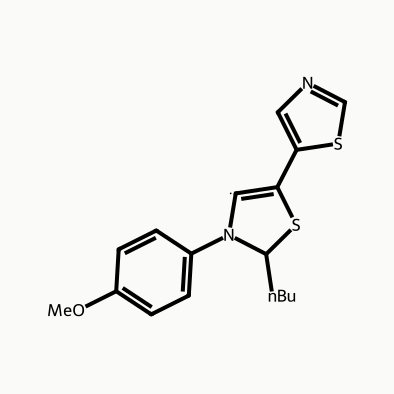 CCCCC1SC(c2cncs2)=[C]N1c1ccc(OC)cc1